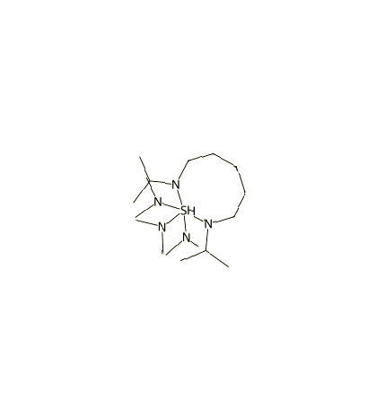 CC(C)N1CCCCCN(C(C)C)[SH]1(N(C)C)(N(C)C)N(C)C